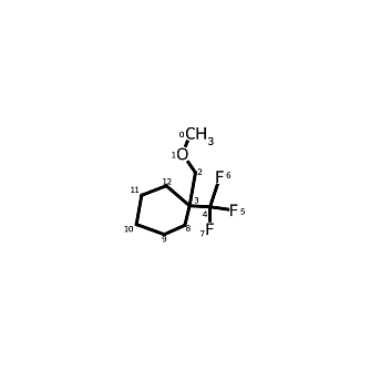 COCC1(C(F)(F)F)CCCCC1